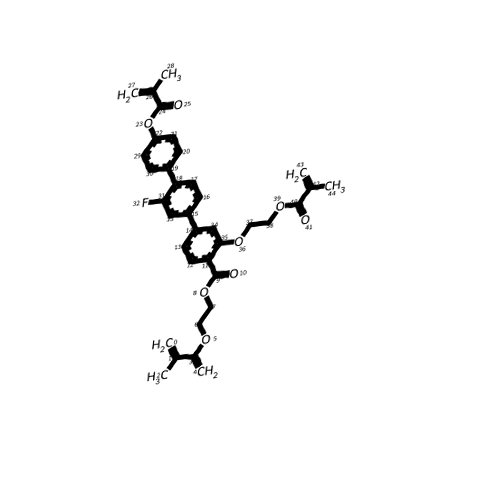 C=C(C)C(=C)OCCOC(=O)c1ccc(-c2ccc(-c3ccc(OC(=O)C(=C)C)cc3)c(F)c2)cc1OCCOC(=O)C(=C)C